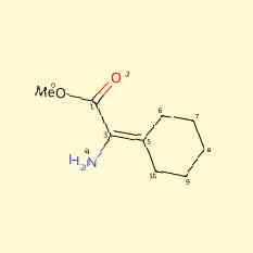 COC(=O)C(N)=C1CCCCC1